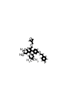 Cc1nc(COCC2COC2)c(-c2ccc(OCCc3ccc(F)cc3)cc2)c(N2CCC(C)(C)CC2)c1CC(=O)O